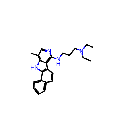 CCN(CC)CCCNc1ncc(C)c2[nH]c3c4ccccc4ccc3c12